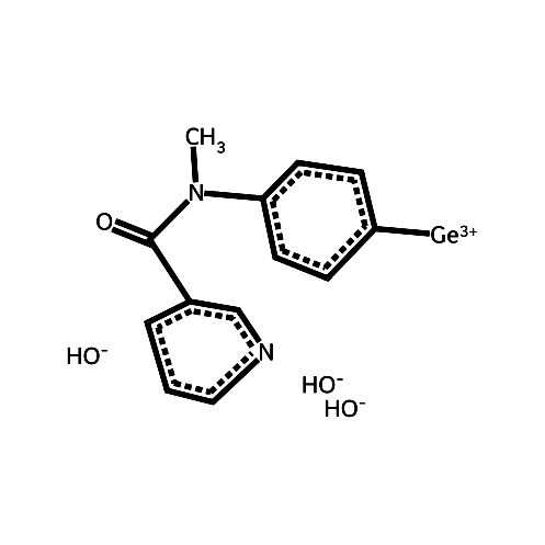 CN(C(=O)c1cccnc1)c1cc[c]([Ge+3])cc1.[OH-].[OH-].[OH-]